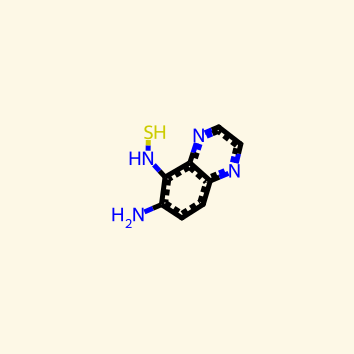 Nc1ccc2nccnc2c1NS